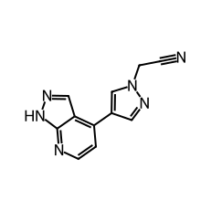 N#CCn1cc(-c2ccnc3[nH]ncc23)cn1